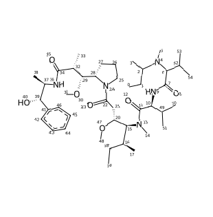 CCC(C)N(C)C(C(=O)N[C@H](C(=O)N(C)[C@@H]([C@@H](C)CC)[C@@H](CC(=O)N1CCC[C@H]1[C@H](OC)[C@@H](C)C(=O)N[C@H](C)[C@@H](O)c1ccccc1)OC)C(C)C)C(C)C